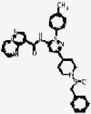 Cc1ccc(-n2nc(C3CCN([S+]([O-])Cc4ccccc4)CC3)cc2NC(=O)c2cnn3cccnc23)cc1